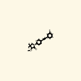 COC1C(=O)N(c2ccc(C#Cc3cccc(F)c3)cn2)CC1(C)C